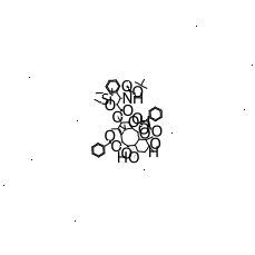 CC[Si](CC)(CC)O[C@@H](C(=O)O[C@H]1C[C@@]2(O)[C@@H](OC(=O)c3ccccc3)C3[C@](C)(C(=O)[C@H](OC(=O)c4ccccc4)C(=C1C)C2(C)C)[C@@H](O)C[C@H]1OC[C@@]31OC(C)=O)[C@@H](NC(=O)OC(C)(C)C)c1ccccc1